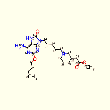 CCCCOc1nc(N)c2[nH]c(=O)n(CCCCCN3CCCC(CC(=O)OC)C3)c2n1